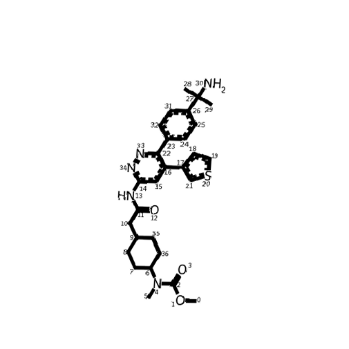 COC(=O)N(C)C1CCC(CC(=O)Nc2cc(-c3ccsc3)c(-c3ccc(C(C)(C)N)cc3)nn2)CC1